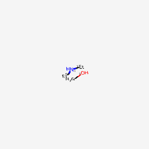 CCNCC.O[SiH3]